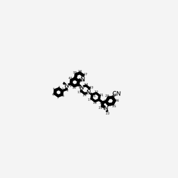 CN(Cc1ccccc1)c1cc(N2CCN(C3CCC(c4cn(C)c5ccc(C#N)cc45)CC3)CC2)c2ncccc2c1